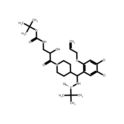 C=CCOc1cc(Cl)c(Cl)cc1C(N[S@@+]([O-])C(C)(C)C)C1CCN(C(=O)C(O)CNC(=O)OC(C)(C)C)CC1